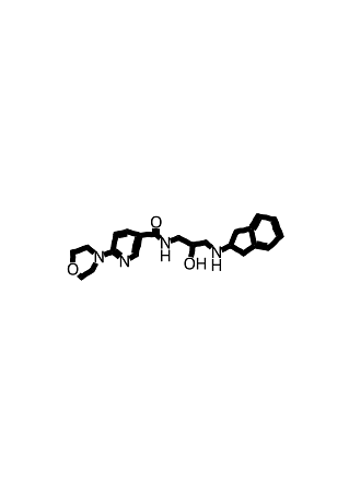 O=C(NCC(O)CNC1Cc2ccccc2C1)c1ccc(N2CCOCC2)nc1